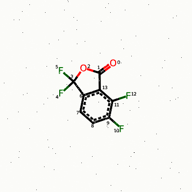 O=C1OC(F)(F)c2ccc(F)c(F)c21